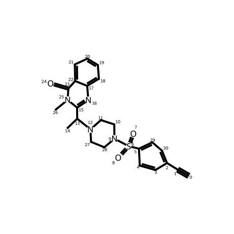 C#Cc1ccc(S(=O)(=O)N2CCN(C(C)c3nc4ccccc4c(=O)n3C)CC2)cc1